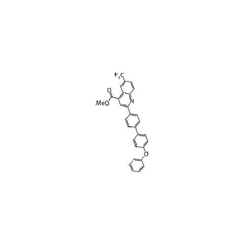 COC(=O)c1cc(-c2ccc(-c3ccc(Oc4ccccc4)cc3)cc2)nc2ccc(C(F)(F)F)cc12